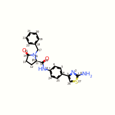 Nc1nc(-c2ccc(NC(=O)[C@H]3CCC(=O)N3Cc3ccccc3)cc2)cs1